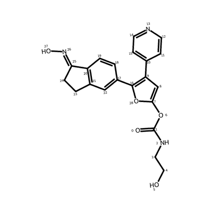 O=C(NCCO)Oc1cc(-c2ccncc2)c(-c2ccc3c(c2)CCC3=NO)o1